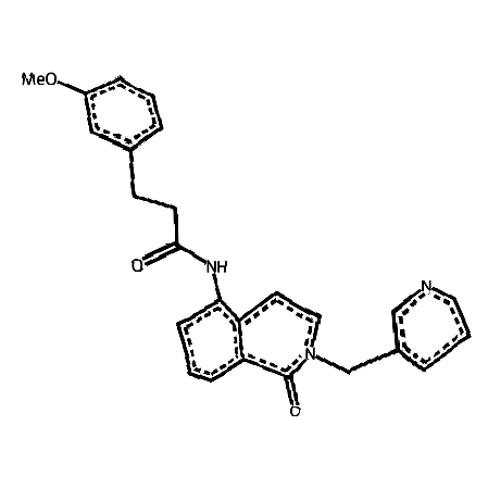 COc1cccc(CCC(=O)Nc2cccc3c(=O)n(Cc4cccnc4)ccc23)c1